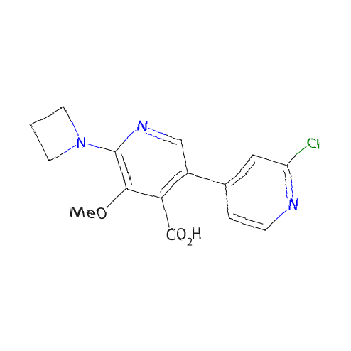 COc1c(N2CCC2)ncc(-c2ccnc(Cl)c2)c1C(=O)O